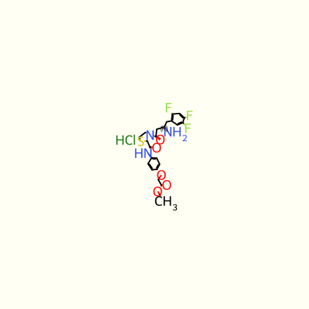 CCOC(=O)COc1ccc(NC(=O)C2SCCN2C(=O)C[C@H](N)Cc2cc(F)c(F)cc2F)cc1.Cl